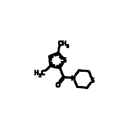 Cc1cc(C)c(C(=O)N2CCSCC2)s1